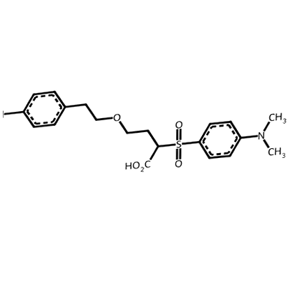 CN(C)c1ccc(S(=O)(=O)C(CCOCCc2ccc(Cl)cc2)C(=O)O)cc1